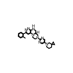 Cc1ccccc1-c1cc2c(nn1)NC[C@H]1CN(c3ncc(N4CCCC5(CC5)C4)cn3)CCN21